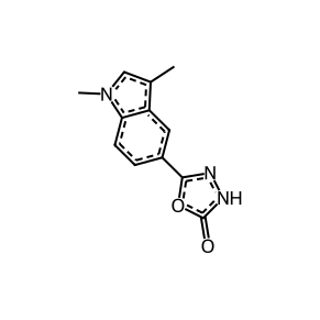 Cc1cn(C)c2ccc(-c3n[nH]c(=O)o3)cc12